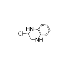 ClC1CNc2ccccc2N1